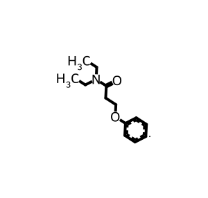 CCN(CC)C(=O)CCOc1cc[c]cc1